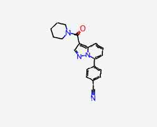 N#Cc1ccc(-c2cccc3c(C(=O)N4CCCCC4)cnn23)cc1